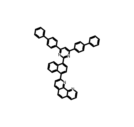 c1ccc(-c2ccc(-c3cc(-c4ccc(-c5ccccc5)cc4)nc(-c4ccc(-c5ccc6ccc7cccnc7c6n5)c5ccccc45)n3)cc2)cc1